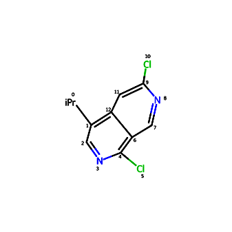 CC(C)c1cnc(Cl)c2cnc(Cl)cc12